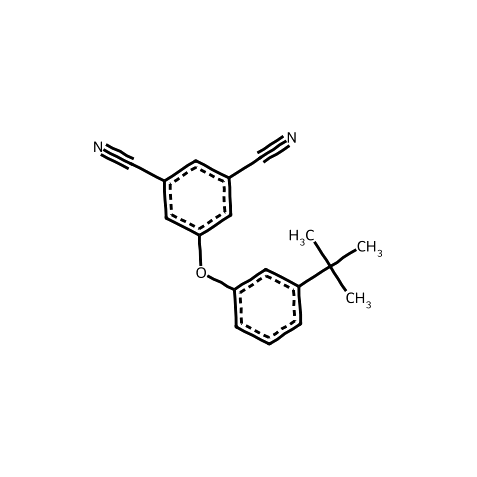 CC(C)(C)c1cccc(Oc2cc(C#N)cc(C#N)c2)c1